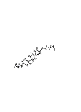 CCCCCc1ccc(C2CCC(C3CCC(/C(F)=C/C(F)(F)F)CC3)CC2)cc1